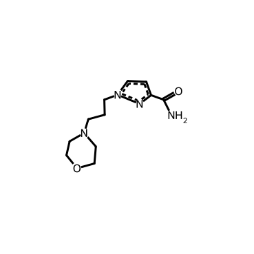 NC(=O)c1ccn(CCCN2CCOCC2)n1